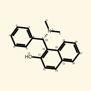 CN(C)[C@@H](c1ccccc1)c1c(O)ccc2ccccc12